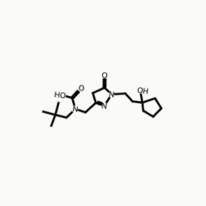 CC(C)(C)CN(CC1=NN(CCC2(O)CCCC2)C(=O)C1)C(=O)O